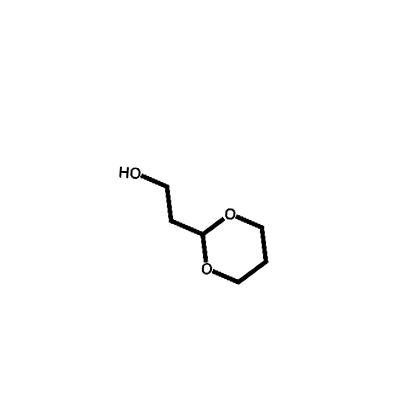 OCCC1OCCCO1